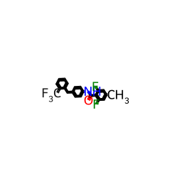 Cc1cc(F)c(C(=O)Nc2ccc(Cc3ccccc3C(F)(F)F)cc2)c(F)c1